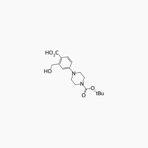 CC(C)(C)OC(=O)N1CCN(c2ccc(C(=O)O)c(CO)c2)CC1